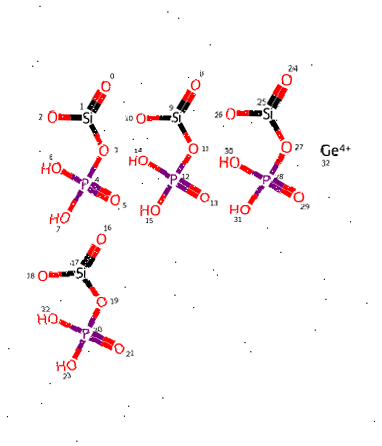 O=[Si]([O-])OP(=O)(O)O.O=[Si]([O-])OP(=O)(O)O.O=[Si]([O-])OP(=O)(O)O.O=[Si]([O-])OP(=O)(O)O.[Ge+4]